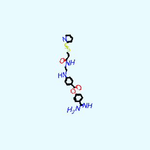 N=C(N)c1ccc(OC(=O)c2ccc(NCCNC(=O)CCSSc3ccccn3)cc2)cc1